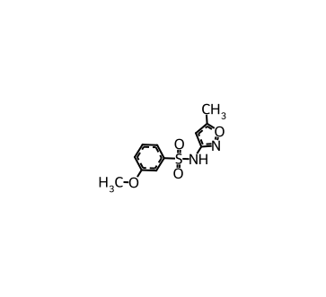 COc1cccc(S(=O)(=O)Nc2cc(C)on2)c1